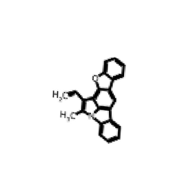 C=Cc1c(C)n2c3ccccc3c3cc4c5ccccc5oc4c1c32